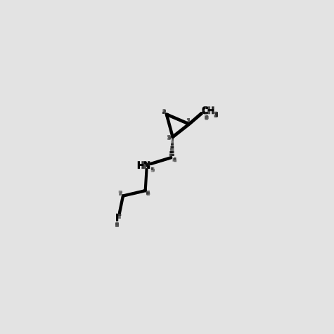 CC1C[C@H]1CNCCF